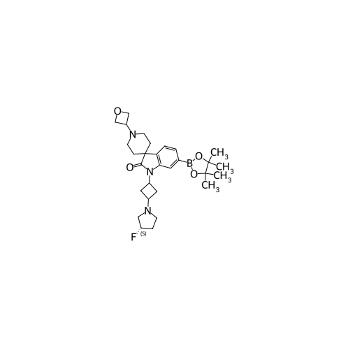 CC1(C)OB(c2ccc3c(c2)N(C2CC(N4CC[C@H](F)C4)C2)C(=O)C32CCN(C3COC3)CC2)OC1(C)C